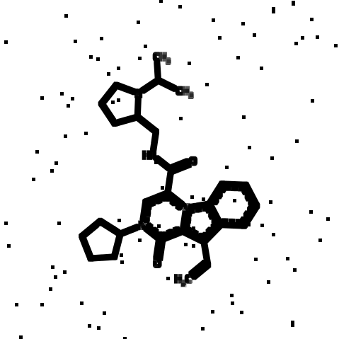 C=Cc1c2ccccc2n2c(C(=O)NCC3CCCN3C(C)C)cn(C3CCCC3)c(=O)c12